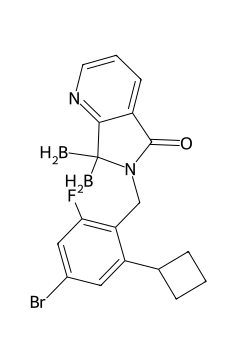 BC1(B)c2ncccc2C(=O)N1Cc1c(F)cc(Br)cc1C1CCC1